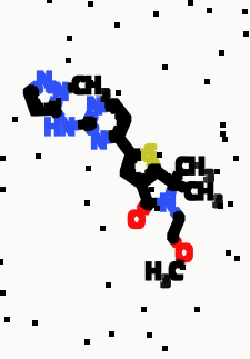 COCCN1C(=O)c2cc(-c3ccnc(Nc4ccnn4C)n3)sc2C1(C)C